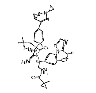 CC(C)(C)C[C@]1(C2(C)C=CC(c3cnn(C4CC4)n3)=CC2)NC(=N)N([C@H](CNC(=O)C2(C)CC2)c2ccc(Cl)c(-n3ncnc3C(F)F)c2)C1=O